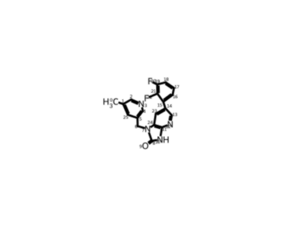 Cc1cncc(Cn2c(=O)[nH]c3ncc(-c4cccc(F)c4F)cc32)c1